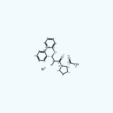 CC(CSc1cccc[n+]1-c1ccccc1)C(=O)N1CCC[C@H]1C(=O)O.[Br-]